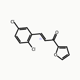 O=C(/C=C/c1cc(Cl)ccc1Cl)c1ccco1